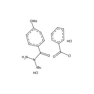 COc1ccc(C(=O)N(N)C(C)(C)C)cc1.Cl.Cl.O=C(Cl)c1ccccc1